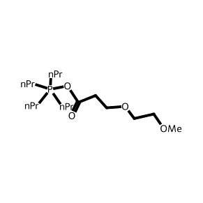 CCCP(CCC)(CCC)(CCC)OC(=O)CCOCCOC